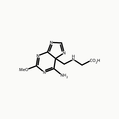 COC1=NC2=NC=NC2(CNCC(=O)O)C(N)=N1